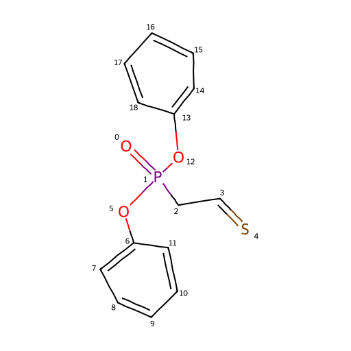 O=P(CC=S)(Oc1ccccc1)Oc1ccccc1